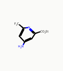 CCOC(=O)c1cc(N)cc(C(F)(F)F)n1